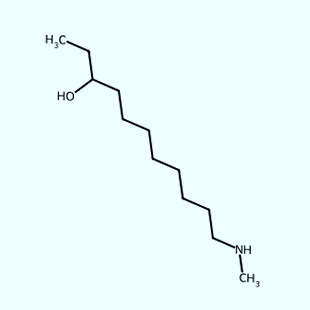 CCC(O)CCCCCCCCNC